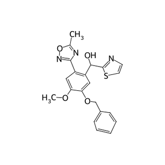 COc1cc(-c2noc(C)n2)c(C(O)c2nccs2)cc1OCc1ccccc1